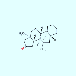 CC1C[C@H]2CCCC[C@]2(C)[C@H]2CC[C@]3(C)CC(=O)C[C@H]3[C@H]12